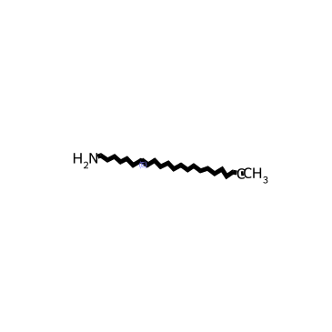 CCCCCCCCCCCCCCC/C=C/CCCCCCN